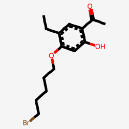 CCc1cc(C(C)=O)c(O)cc1OCCCCCBr